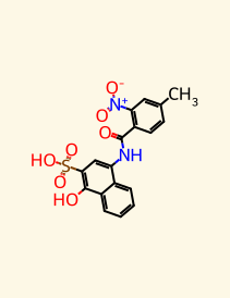 Cc1ccc(C(=O)Nc2cc(S(=O)(=O)O)c(O)c3ccccc23)c([N+](=O)[O-])c1